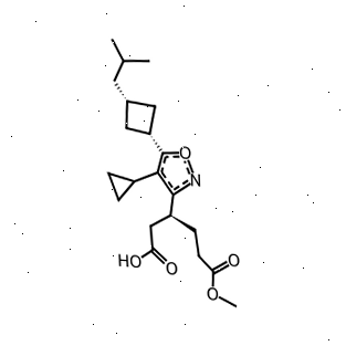 COC(=O)CC[C@@H](CC(=O)O)c1noc([C@H]2C[C@@H](CC(C)C)C2)c1C1CC1